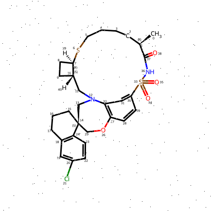 C[C@@H]1CCCCS[C@@H]2CC[C@H]2CN2C[C@@]3(CCCc4cc(Cl)ccc43)COc3ccc(cc32)S(=O)(=O)NC1=O